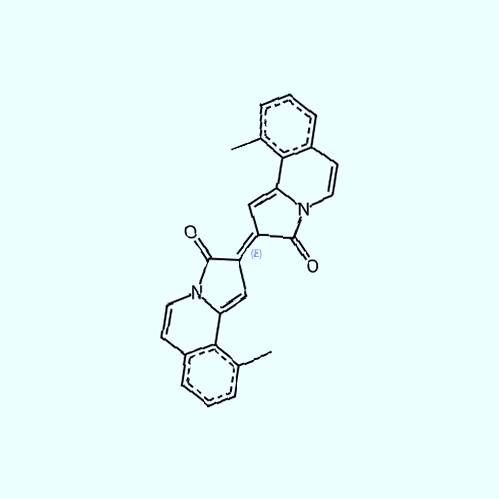 Cc1cccc2c1C1=C/C(=C3/C=C4c5c(C)cccc5C=CN4C3=O)C(=O)N1C=C2